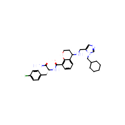 NC(=O)[C@H](Cc1ccc(Cl)cc1)NC(=O)c1cccc2c1OCCC2NCc1cncn1CC1CCCCC1